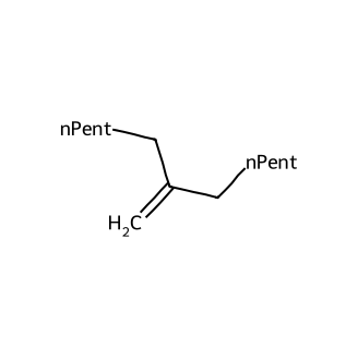 C=C(CCCCCC)CCCCCC